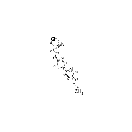 CCCCc1ccc(-c2ccc(OCCC(C#N)CC)cc2)nc1